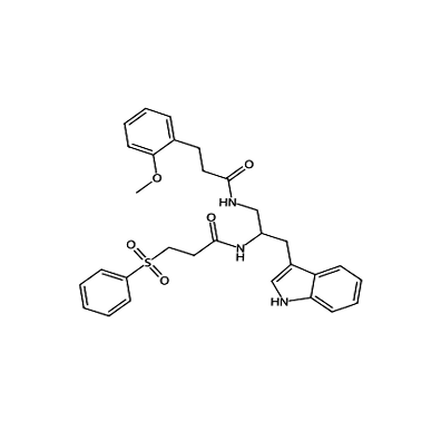 COc1ccccc1CCC(=O)NCC(Cc1c[nH]c2ccccc12)NC(=O)CCS(=O)(=O)c1ccccc1